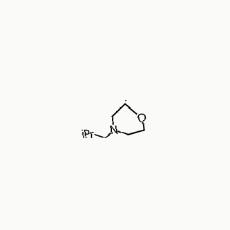 CC(C)CN1C[CH]OCC1